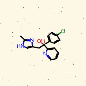 Cc1nc(CC(O)(c2ccc(Cl)cc2)c2ccccn2)c[nH]1